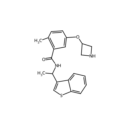 Cc1ccc(OC2CNC2)cc1C(=O)NC(C)c1csc2ccccc12